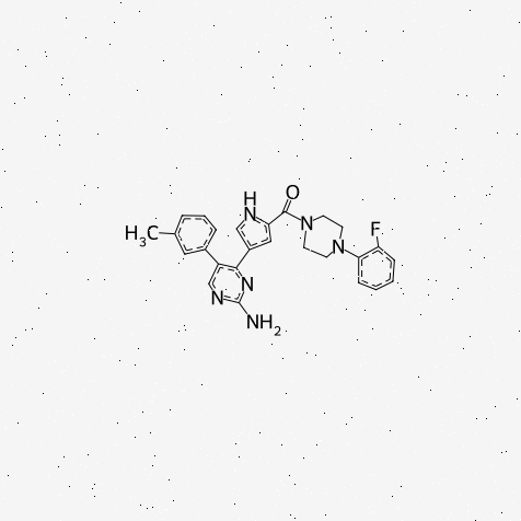 Cc1cccc(-c2cnc(N)nc2-c2c[nH]c(C(=O)N3CCN(c4ccccc4F)CC3)c2)c1